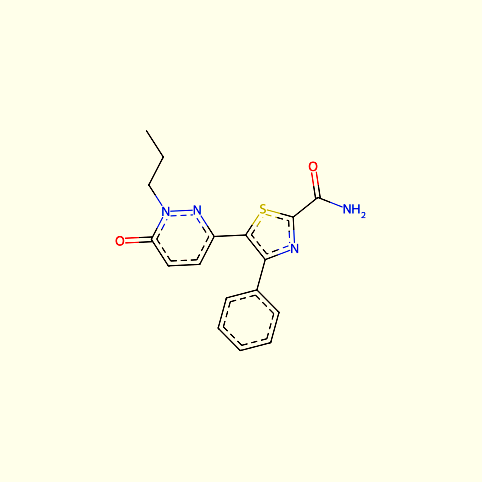 CCCn1nc(-c2sc(C(N)=O)nc2-c2ccccc2)ccc1=O